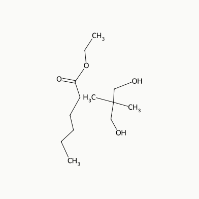 CC(C)(CO)CO.CCCCCC(=O)OCC